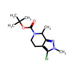 CC1c2nn(C)c(Br)c2CCN1C(=O)OC(C)(C)C